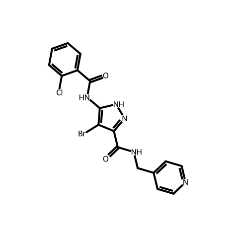 O=C(Nc1[nH]nc(C(=O)NCc2ccncc2)c1Br)c1ccccc1Cl